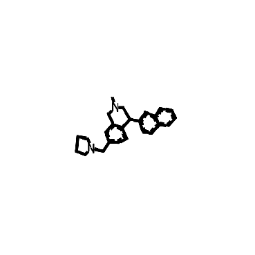 CN1Cc2cc(CN3CCCC3)ccc2C(c2ccc3ccccc3c2)C1